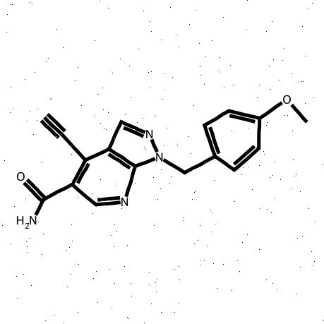 C#Cc1c(C(N)=O)cnc2c1cnn2Cc1ccc(OC)cc1